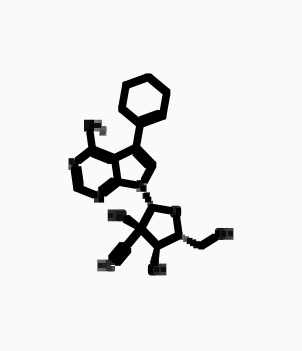 C#C[C@@]1(O)[C@H](O)[C@@H](CO)O[C@H]1n1cc(C2=CCCCC2)c2c(N)ncnc21